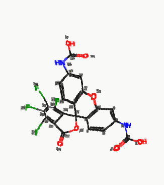 O=C(O)Nc1ccc2c(c1)Oc1cc(NC(=O)O)ccc1C21OC(=O)c2c(F)c(F)c(F)c(F)c21